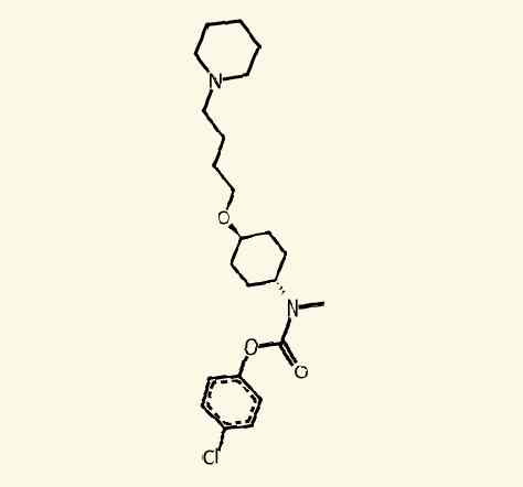 CN(C(=O)Oc1ccc(Cl)cc1)[C@H]1CC[C@H](OCCCCN2CCCCC2)CC1